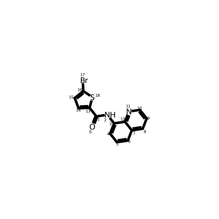 O=C(Nc1cccc2cccnc12)c1ccc(Br)s1